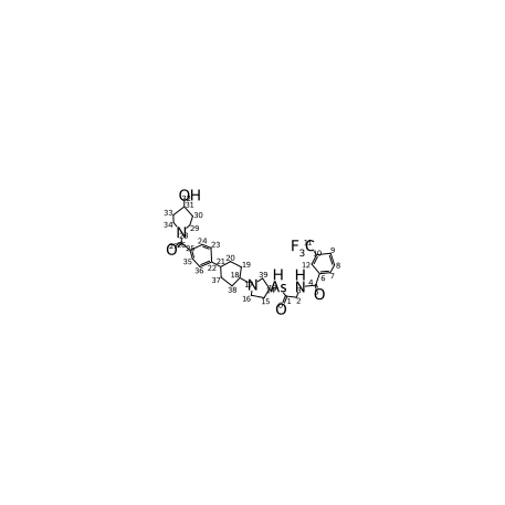 O=C(CNC(=O)c1cccc(C(F)(F)F)c1)[AsH]C1CCN(C2CCC(c3ccc(C(=O)N4CCC(O)CC4)cc3)CC2)C1